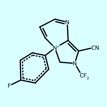 N#CC1=C2N=CC=C[N+]2(c2ccc(F)cc2)CN1C(F)(F)F